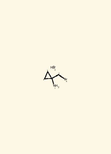 Br.NC1(CBr)CC1